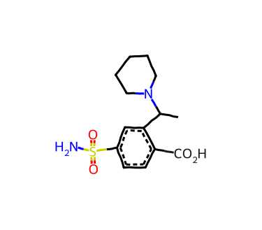 CC(c1cc(S(N)(=O)=O)ccc1C(=O)O)N1CCCCC1